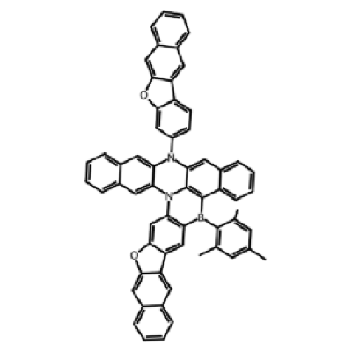 Cc1cc(C)c(B2c3cc4c(cc3N3c5cc6ccccc6cc5N(c5ccc6c(c5)oc5cc7ccccc7cc56)c5cc6ccccc6c2c53)oc2cc3ccccc3cc24)c(C)c1